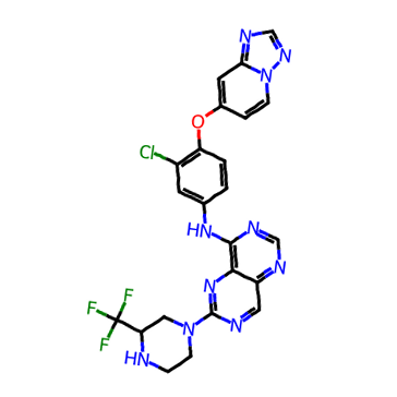 FC(F)(F)C1CN(c2ncc3ncnc(Nc4ccc(Oc5ccn6ncnc6c5)c(Cl)c4)c3n2)CCN1